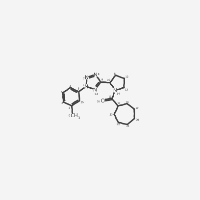 Cc1cccc(-n2nnc(C3CCCN3C(=O)C3CCCCCC3)n2)c1